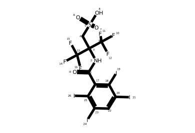 O=C(NC(CS(=O)(=O)O)(C(F)(F)F)C(F)(F)F)c1c(I)c(I)cc(I)c1I